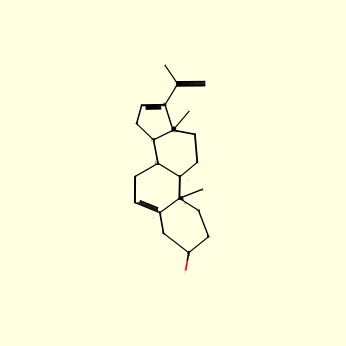 C=C(C)C1=CCC2C3CC=C4CC(O)CCC4(C)C3CCC12C